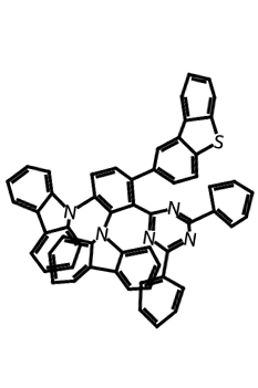 c1ccc(-c2nc(-c3ccccc3)nc(-c3c(-c4ccc5sc6ccccc6c5c4)ccc(-n4c5ccccc5c5ccccc54)c3-n3c4ccccc4c4ccccc43)n2)cc1